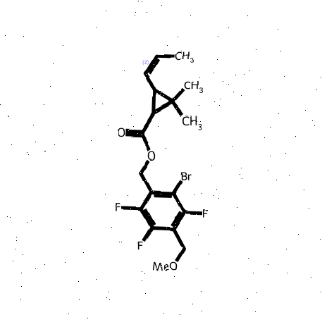 C/C=C\C1C(C(=O)OCc2c(F)c(F)c(COC)c(F)c2Br)C1(C)C